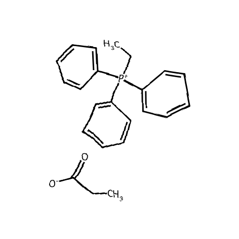 CCC(=O)[O-].CC[P+](c1ccccc1)(c1ccccc1)c1ccccc1